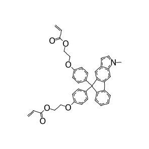 C=CC(=O)OCCOc1ccc(C2(c3ccc(OCCOC(=O)C=C)cc3)c3ccccc3-c3cc4c(ccn4C)cc32)cc1